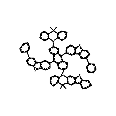 CC1(C)c2ccccc2N(c2ccc3c(-c4ccc5sc6ccc(-c7ccccc7)cc6c5c4)c4cc(N5c6ccccc6C(C)(C)c6cc7c(cc65)sc5ccccc57)ccc4c(-c4ccc5sc6ccc(-c7ccccc7)cc6c5c4)c3c2)c2ccccc21